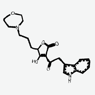 O=C(Cc1c[nH]c2ccccc12)C1=C(O)C(CCCN2CCOCC2)OC1=O